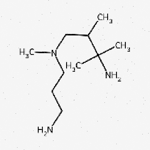 CC(CN(C)CCCN)C(C)(C)N